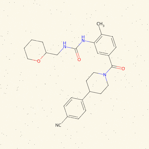 Cc1ccc(C(=O)N2CCC(c3ccc(C#N)cc3)CC2)cc1NC(=O)NCC1CCCCO1